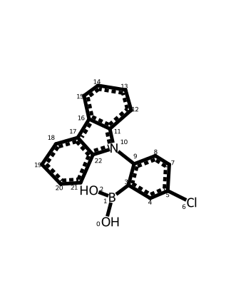 OB(O)c1cc(Cl)ccc1-n1c2ccccc2c2ccccc21